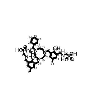 Cc1cc(CNCP(=O)(O)O)c(O)c(CN2CCN(Cc3ccccc3)CCN(Cc3cc(C)cc(CNCP(=O)(O)O)c3O)CC2)c1